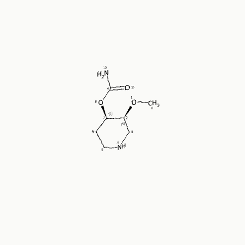 CO[C@H]1CNCC[C@H]1OC(N)=O